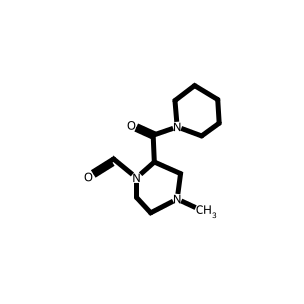 CN1CCN([C]=O)C(C(=O)N2CCCCC2)C1